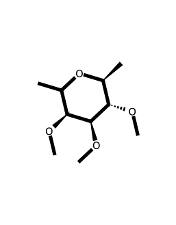 CO[C@@H]1[C@@H](OC)[C@@H](OC)C(C)O[C@H]1C